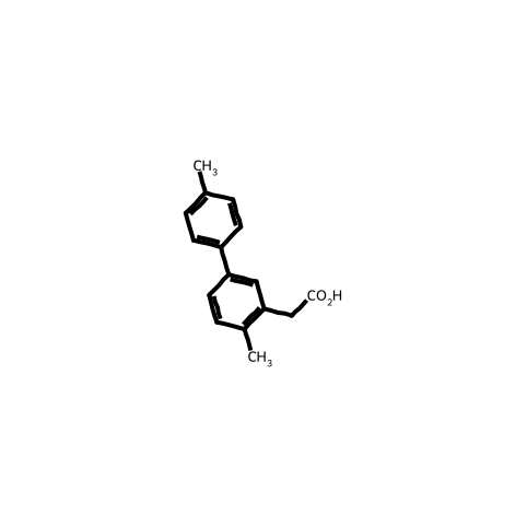 Cc1ccc(-c2ccc(C)c(CC(=O)O)c2)cc1